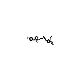 CCOc1ccc(CCN(C)CCCN2CCC/C(=C\c3ccc(F)cc3)C2=O)cc1OCC